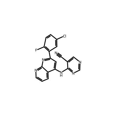 N#Cc1cncnc1Nc1cc(-c2cc(Cl)ccc2F)nc2ncccc12